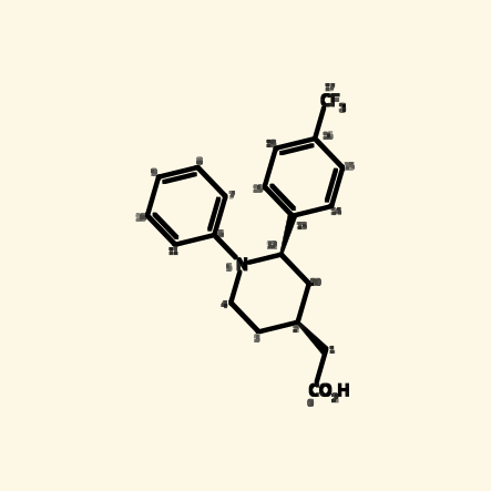 O=C(O)C[C@H]1CCN(c2ccccc2)[C@@H](c2ccc(C(F)(F)F)cc2)C1